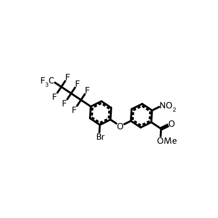 COC(=O)c1cc(Oc2ccc(C(F)(F)C(F)(F)C(F)(F)C(F)(F)F)cc2Br)ccc1[N+](=O)[O-]